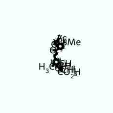 CSc1ccc(C(=O)/C=C/c2cc(C)c(OC(C)(C)C(=O)O)c(C)c2)c2occ(C(C)=O)c12